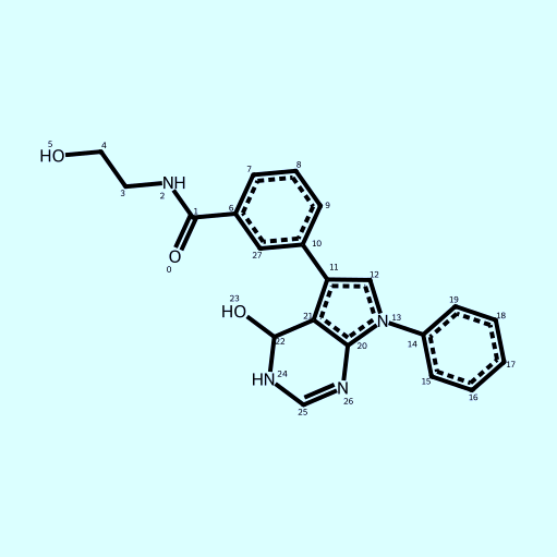 O=C(NCCO)c1cccc(-c2cn(-c3ccccc3)c3c2C(O)NC=N3)c1